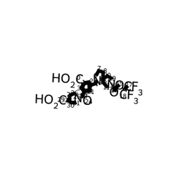 O=C(O)c1cc(CN2CCCC23CCN(C(=O)OC(C(F)(F)F)C(F)(F)F)CC3)cc(C(=O)N2CCC(C(=O)O)CC2)c1